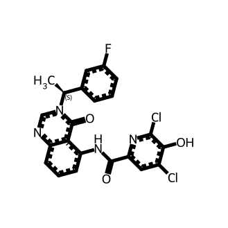 C[C@@H](c1cccc(F)c1)n1cnc2cccc(NC(=O)c3cc(Cl)c(O)c(Cl)n3)c2c1=O